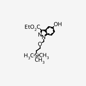 CCOC(=O)c1nn(COCC[Si](C)(C)C)c2ccc(O)cc12